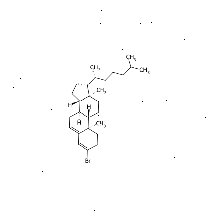 CC(C)CCC[C@@H](C)[C@H]1CC[C@H]2[C@@H]3CC=C4C=C(Br)CC[C@]4(C)[C@H]3CC[C@]12C